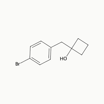 OC1(Cc2ccc(Br)cc2)CCC1